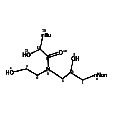 CCCCCCCCCCC(O)CN(CCO)C(=O)C(O)CCCC